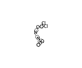 CCC(Cc1ccccc1)(C(=O)OC)N1CCC(CN2CCC(Oc3ccc(Cl)c(Cl)c3)CC2)CC1